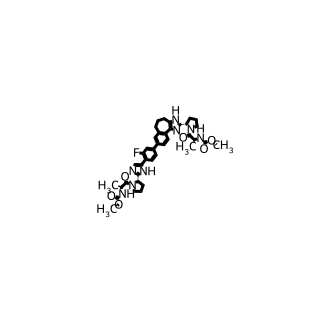 COC(=O)N[C@@H](C)C(=O)N1CCC[C@H]1c1ncc(-c2ccc(-c3ccc4c(c3)CCCc3[nH]c([C@@H]5CCCN5C(=O)[C@H](C)NC(=O)OC)nc3-4)cc2F)[nH]1